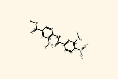 COC(=O)c1ccc(NC(=O)c2ccc([N+](=O)[O-])c(OC)c2)c(OC)c1